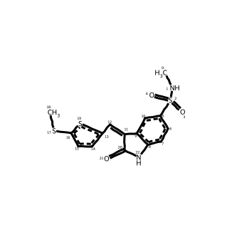 CNS(=O)(=O)c1ccc2c(c1)C(=Cc1ccc(SC)s1)C(=O)N2